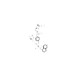 CC(NC(=O)N(CCCN1CCOCC1)Cc1ccc(CNC2CCN(C(=O)O)C2)cc1)c1cccc2ccccc12